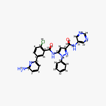 Nc1cccc(-c2ccc(Cl)c(C(=O)Nc3cc(C(=O)Nc4cncnc4)nn3-c3ccccc3)c2)n1